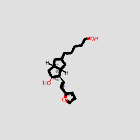 OCCCCCC1C[C@H]2C[C@@H](O)[C@H](/C=C/c3ccco3)[C@H]2C1